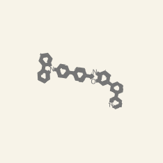 c1cncc(-c2cccc(-c3ccc4nc(-c5ccc(-c6ccc(-n7c8ccccc8c8ccccc87)cc6)cc5)oc4c3)c2)c1